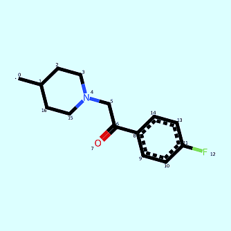 [CH2]C1CCN(CC(=O)c2ccc(F)cc2)CC1